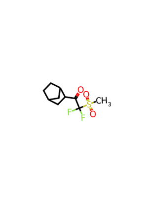 CS(=O)(=O)C(F)(F)C(=O)C1CC2CCC1C2